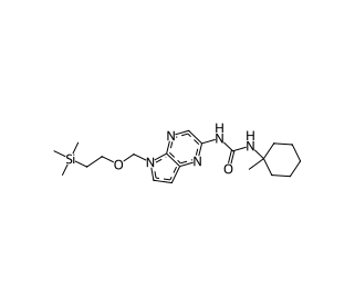 CC1(NC(=O)Nc2cnc3c(ccn3COCC[Si](C)(C)C)n2)CCCCC1